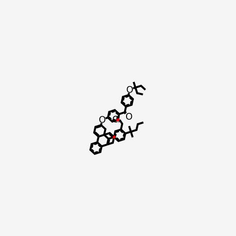 CCCC(C)(C)c1ccc(C2=C3CC=CC24CC(Oc2ccc(C(=O)c5ccc(OC(C)(CC)CC)cc5)cc2)=CC=C4c2ccccc23)cc1CCl